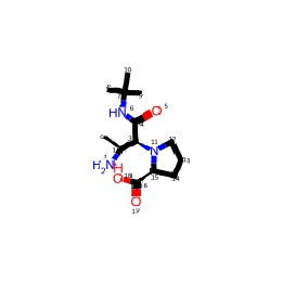 C[C@H](N)[C@@H](C(=O)NC(C)(C)C)N1CCC[C@H]1C(=O)O